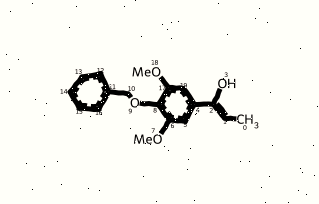 CC=C(O)c1cc(OC)c(OCc2ccccc2)c(OC)c1